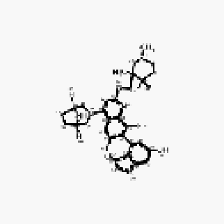 CN1CCC(F)(F)C(C)(COc2cc(N3C[C@H]4CC[C@@H](C3)N4)c3cc(F)c(-c4cc(O)cc5scc(Cl)c45)c(F)c3n2)C1